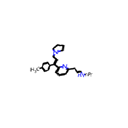 CCCNC=CCc1cccc(C(=CCN2CCCC2)c2ccc(C)cc2)n1